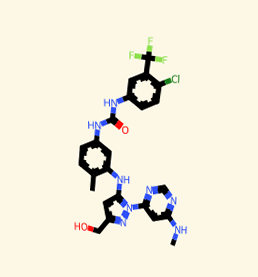 CNc1cc(-n2nc(CO)cc2Nc2cc(NC(=O)Nc3ccc(Cl)c(C(F)(F)F)c3)ccc2C)ncn1